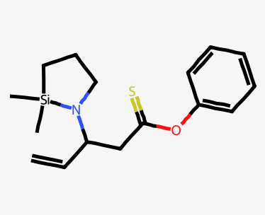 C=CC(CC(=S)Oc1ccccc1)N1CCC[Si]1(C)C